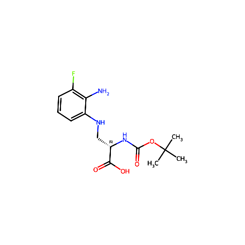 CC(C)(C)OC(=O)N[C@@H](CNc1cccc(F)c1N)C(=O)O